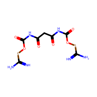 N=C(N)SOC(=O)NC(=O)CC(=O)NC(=O)OSC(=N)N